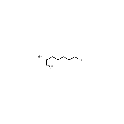 CCC[C@H](CCCCCC(=O)O)C(=O)O